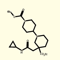 CCOC(=O)C1(CC(=O)NC2CC2)CCCN(C2CCN(C(=O)OC(C)(C)C)CC2)C1